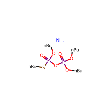 CCCCOP(=O)(OCCCC)OP(=O)(OCCCC)SCCCC.N